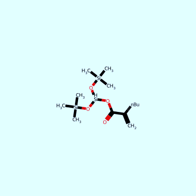 C=C(CCCC)C(=O)O[SiH](O[Si](C)(C)C)O[Si](C)(C)C